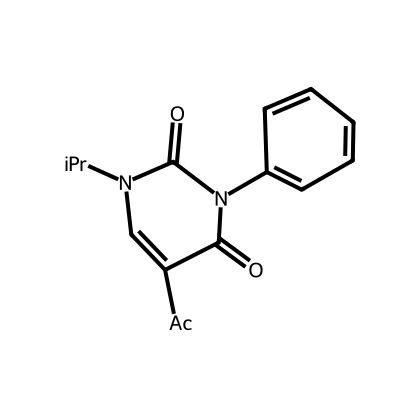 CC(=O)c1cn(C(C)C)c(=O)n(-c2ccccc2)c1=O